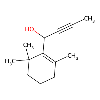 CC#CC(O)C1=C(C)CCCC1(C)C